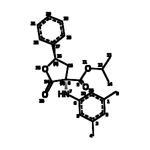 Cc1cc(C)cc(N[C@@]2(C(=O)OC(C)C)C[C@H](c3ccccc3)OC2=O)c1